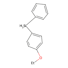 CCOc1ccc([SiH2]c2ccccc2)cc1